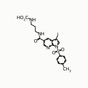 Cc1ccc(S(=O)(=O)n2cc(I)c3cc(C(=O)NCCCNC(=O)O)cnc32)cc1